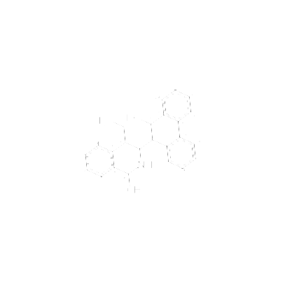 CCC1c2ccccc2C(C)NC1C1c2ccccc2-c2ccccc2C1C